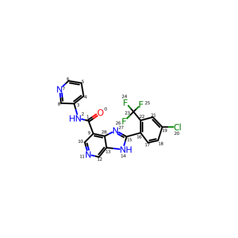 O=C(Nc1cccnc1)c1cncc2[nH]c(-c3ccc(Cl)cc3C(F)(F)F)nc12